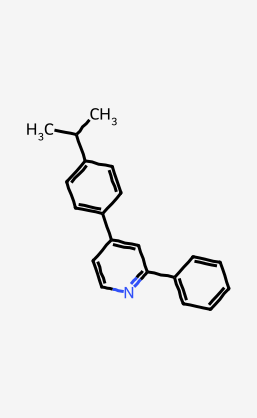 CC(C)c1ccc(-c2ccnc(-c3ccccc3)c2)cc1